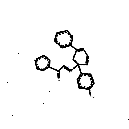 O=C(/C=C/C1(c2ccc(O)cc2)C=CC=C(c2ccccc2)C1)c1ccccc1